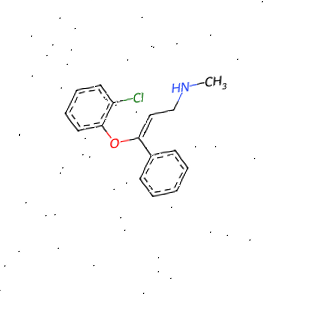 CNCC=C(Oc1ccccc1Cl)c1ccccc1